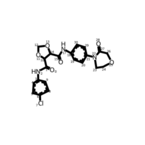 O=C(Nc1ccc(Cl)cc1)C1OCOC1C(=O)Nc1ccc(N2CCOCC2=O)cc1